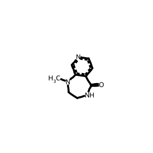 CN1CCNC(=O)c2ccncc21